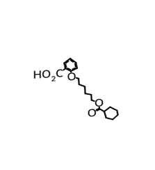 O=C(O)c1ccccc1OCCCCCCOC(=O)C1CCCCC1